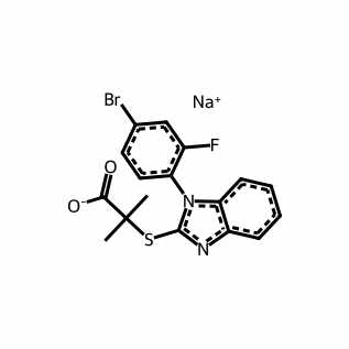 CC(C)(Sc1nc2ccccc2n1-c1ccc(Br)cc1F)C(=O)[O-].[Na+]